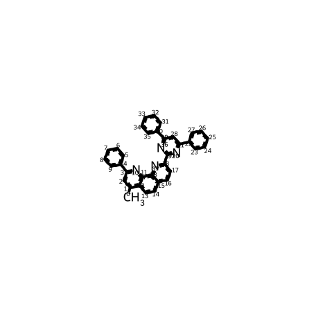 Cc1cc(-c2ccccc2)nc2c1ccc1ccc(-c3nc(-c4ccccc4)cc(-c4ccccc4)n3)nc12